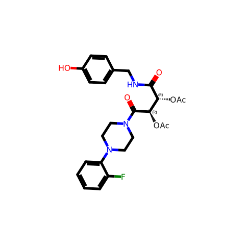 CC(=O)O[C@@H](C(=O)NCc1ccc(O)cc1)[C@@H](OC(C)=O)C(=O)N1CCN(c2ccccc2F)CC1